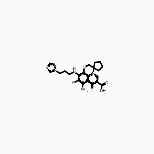 Nc1c(F)c(NCCCn2cncn2)c2c3c1c(=O)c(C(=O)O)cn3C1(CCCC1)CO2